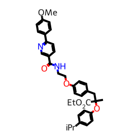 CCOC(=O)C(C)(Cc1ccc(OCCNC(=O)c2ccc(-c3ccc(OC)cc3)nc2)cc1)Oc1ccc(C(C)C)cc1